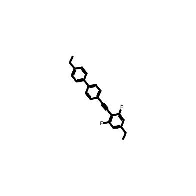 CCc1ccc(-c2ccc(C#Cc3c(F)cc(CC)cc3F)cc2)cc1